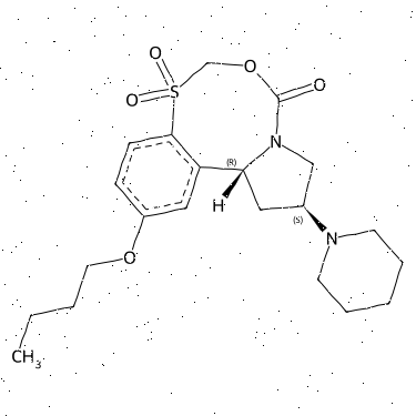 CCCCOc1ccc2c(c1)[C@H]1C[C@H](N3CCCCC3)CN1C(=O)OCS2(=O)=O